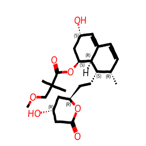 COCC(C)(C)C(=O)O[C@H]1C[C@H](O)C=C2C=C[C@H](C)[C@H](CC[C@@H]3C[C@@H](O)CC(=O)O3)[C@H]21